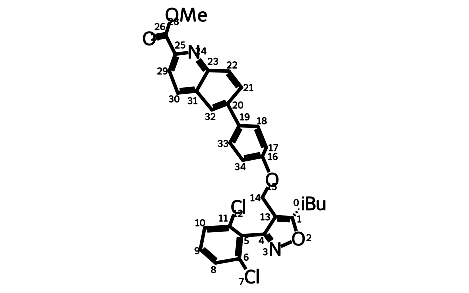 CC[C@@H](C)c1onc(-c2c(Cl)cccc2Cl)c1COc1ccc(-c2ccc3nc(C(=O)OC)ccc3c2)cc1